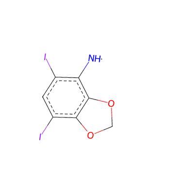 [NH]c1c(I)cc(I)c2c1OCO2